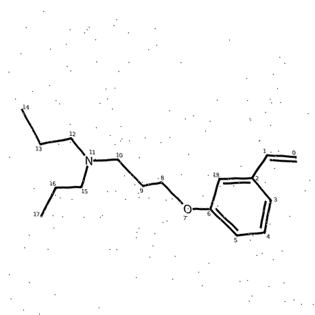 C=Cc1cccc(OCCCN(CCC)CCC)c1